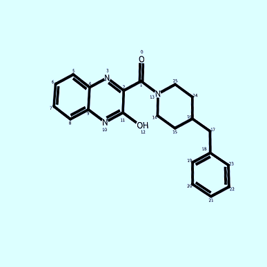 O=C(c1nc2ccccc2nc1O)N1CCC(Cc2ccccc2)CC1